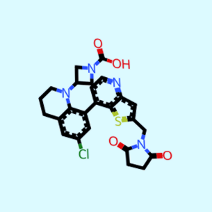 O=C(O)N1CC(N2CCCc3cc(Cl)cc(-c4ccnc5cc(CN6C(=O)CCC6=O)sc45)c32)C1